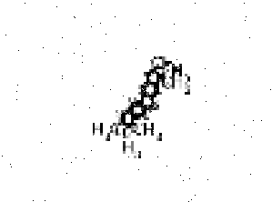 CC1=Cc2cc3c(cc2C1(C)C)Cc1cc2c(cc1-3)C=C(C)C2(C)C